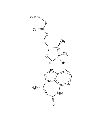 CCCCCOC(=O)OCC1O[C@@H](n2cc3c4c(ncnc42)NC(=O)C=C3N)C(C)(O)[C@@H]1O